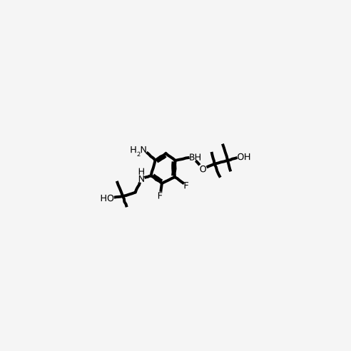 CC(C)(O)CNc1c(N)cc(BOC(C)(C)C(C)(C)O)c(F)c1F